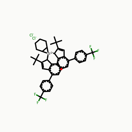 CC(C)(C)C1=Cc2c(-c3ccc(C(F)(F)F)cc3)cccc2[CH]1[Zr+2]1([CH]2C(C(C)(C)C)=Cc3c(-c4ccc(C(F)(F)F)cc4)cccc32)[CH]2CCCC[CH]21.[Cl-].[Cl-]